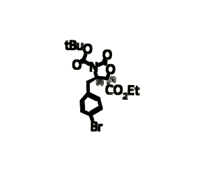 CCOC(=O)[C@H]1OC(=O)N(C(=O)OC(C)(C)C)[C@@H]1Cc1ccc(Br)cc1